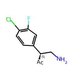 CC(=O)[C@H](CN)c1ccc(Cl)c(F)c1